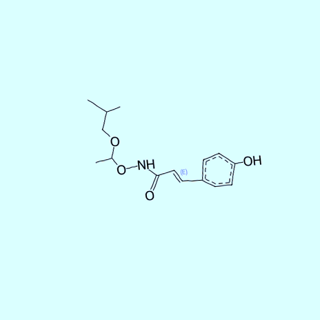 CC(C)COC(C)ONC(=O)/C=C/c1ccc(O)cc1